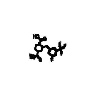 O=C(O)C1CCN(C(=O)O)C(Cc2cc(F)cc(C(F)(F)F)c2)C1